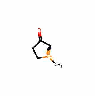 C[PH]1=CC(=O)CC1